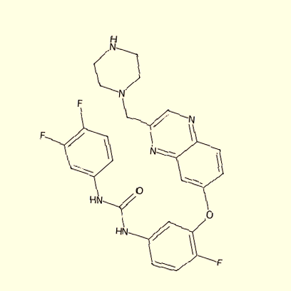 O=C(Nc1ccc(F)c(F)c1)Nc1ccc(F)c(Oc2ccc3ncc(CN4CCNCC4)nc3c2)c1